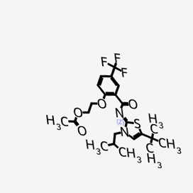 CC(=O)OCCOc1ccc(C(F)(F)F)cc1C(=O)/N=c1\sc(C(C)(C)C)cn1CC(C)C